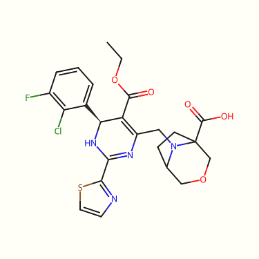 CCOC(=O)C1=C(CN2C3CCC2(C(=O)O)COC3)N=C(c2nccs2)N[C@H]1c1cccc(F)c1Cl